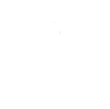 [2H]c1cc(-c2ccc(F)cc2)no1